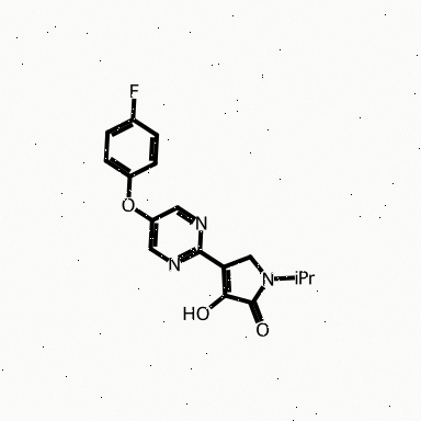 CC(C)N1CC(c2ncc(Oc3ccc(F)cc3)cn2)=C(O)C1=O